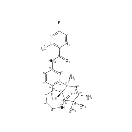 Cc1cc(F)cnc1C(=O)Nc1ccc(F)c([C@@]2(C)N=C(N)C(C)(C)[SH]3(=O)NCCCC[C@H]23)n1